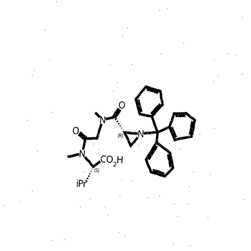 CC(C)[C@@H](C(=O)O)N(C)C(=O)CN(C)C(=O)[C@H]1CN1C(c1ccccc1)(c1ccccc1)c1ccccc1